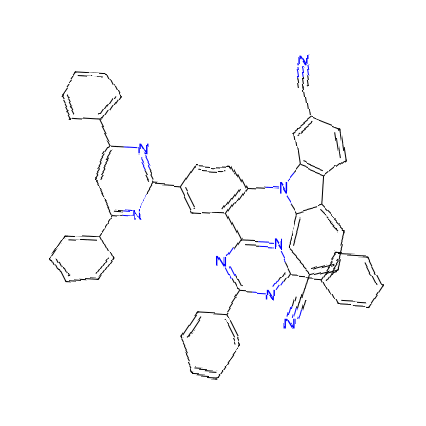 N#Cc1ccc2c3ccc(C#N)cc3n(-c3ccc(-c4nc(-c5ccccc5)cc(-c5ccccc5)n4)cc3-c3nc(-c4ccccc4)nc(-c4ccccc4)n3)c2c1